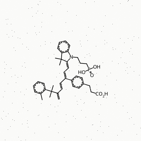 C=C(/C=C/C(=C/C=C1/N(CCCP(=O)(O)O)c2ccccc2C1(C)C)c1ccc(CCC(=O)O)cc1)C(C)(C)c1ccccc1C